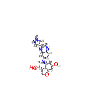 COc1cc(OC)c(C)c(N(CCO)c2ccc3ncc(-c4cnn(C)c4)nc3c2)c1